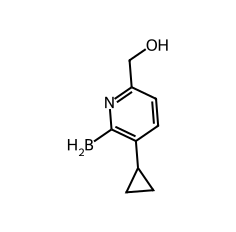 Bc1nc(CO)ccc1C1CC1